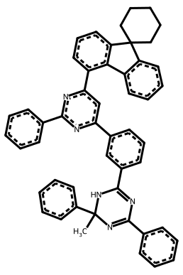 CC1(c2ccccc2)N=C(c2ccccc2)N=C(c2cccc(-c3cc(-c4cccc5c4-c4ccccc4C54CCCCC4)nc(-c4ccccc4)n3)c2)N1